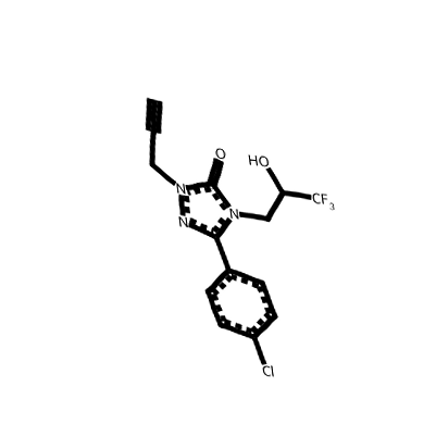 C#CCn1nc(-c2ccc(Cl)cc2)n(CC(O)C(F)(F)F)c1=O